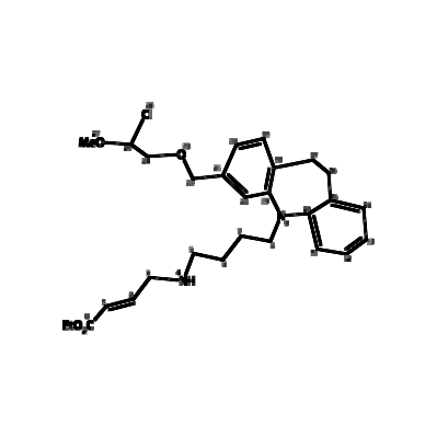 CCOC(=O)/C=C/CNCCCCN1c2ccccc2CCc2ccc(COCC(Cl)OC)cc21